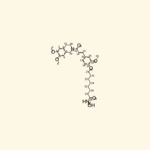 COc1cc2c(cc1OC)CN(C(=O)C=Cc1ccc(OCCCCCCCC(=O)NO)c(OC)c1)CC2